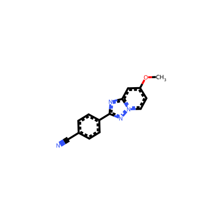 COc1ccn2nc(-c3ccc(C#N)cc3)nc2c1